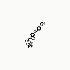 O=C(CC1COc2cc(OCc3ccc(-n4ccnc4)cc3)ccc21)OC(=O)C(F)(F)F